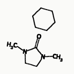 C1CCCCC1.CN1CCN(C)C1=O